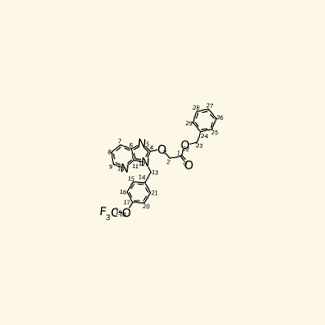 O=C(COc1nc2cccnc2n1Cc1ccc(OC(F)(F)F)cc1)OCc1ccccc1